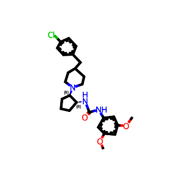 COc1cc(NC(=O)N[C@@H]2CCC[C@H]2N2CCC(Cc3ccc(Cl)cc3)CC2)cc(OC)c1